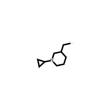 [CH2]CC1CCCN(C2CC2)C1